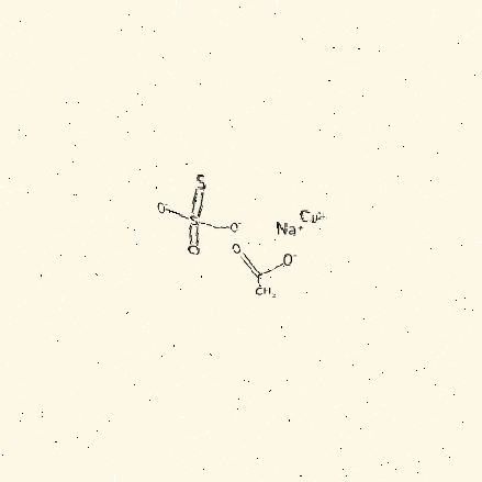 CC(=O)[O-].O=S([O-])([O-])=S.[Cu+2].[Na+]